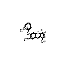 O=C(O)C1=Cc2cc(Cl)c(Sc3cccc[n+]3[O-])cc2OC1C(F)(F)F